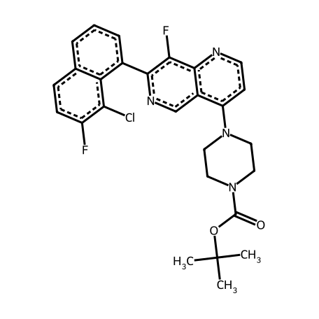 CC(C)(C)OC(=O)N1CCN(c2ccnc3c(F)c(-c4cccc5ccc(F)c(Cl)c45)ncc23)CC1